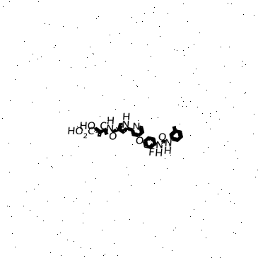 Cc1cccc(NC(=O)Nc2ccc(Oc3ccnc(-c4cc(C(=O)NC(C)(C(=O)O)C(C)CC(=O)O)c[nH]4)c3)cc2F)c1